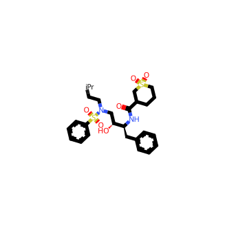 CC(C)CCN(C[C@@H](O)[C@H](Cc1ccccc1)NC(=O)C1CCCS(=O)(=O)C1)S(=O)(=O)c1ccccc1